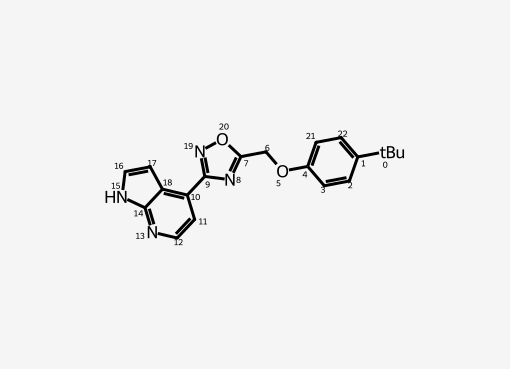 CC(C)(C)c1ccc(OCc2nc(-c3ccnc4[nH]ccc34)no2)cc1